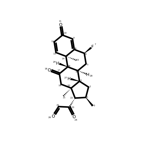 C[C@@H]1C[C@H]2[C@@H]3C[C@H](F)C4=CC(=O)C=C[C@]4(C)[C@H]3C(=O)C[C@]2(C)[C@H]1C(=O)C=O